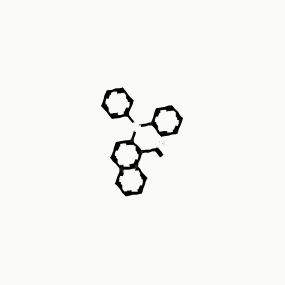 NC(=O)c1c(P(c2ccccc2)c2ccccc2)ccc2ccccc12